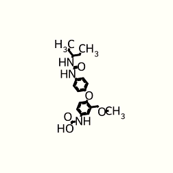 CCC(CC)NC(=O)Nc1ccc(Oc2ccc(NC(=O)O)cc2COC)cc1